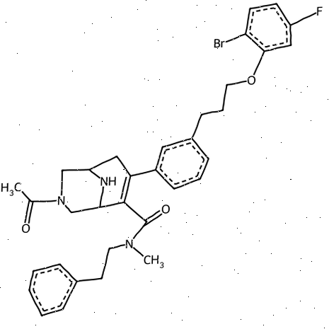 CC(=O)N1CC2CC(c3cccc(CCCOc4cc(F)ccc4Br)c3)=C(C(=O)N(C)CCc3ccccc3)C(C1)N2